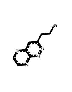 CC(C)CCc1cc2nccnc2nn1